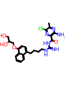 Cc1nc(N)c(C(=O)NC(=N)NCCCCc2ccc(OCC(O)CO)c3ccccc23)nc1Cl